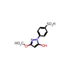 O=C(O)Oc1cc(O)n(-c2ccc(S(=O)(=O)O)cc2)n1